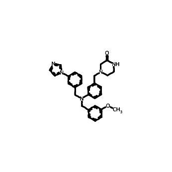 COc1cccc(CN(Cc2cccc(-n3ccnc3)c2)c2cccc(CN3CCNC(=O)C3)c2)c1